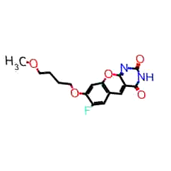 COCCCCOc1cc2oc3nc(=O)[nH]c(=O)c-3cc2cc1F